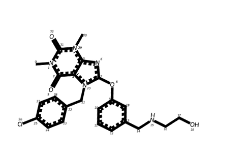 Cn1c(=O)c2c(nc(Oc3cccc(CNCCO)c3)n2Cc2ccc(Cl)cc2)n(C)c1=O